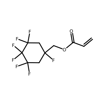 C=CC(=O)OCC1(F)CC(F)(F)C(F)(F)C(F)(F)C1